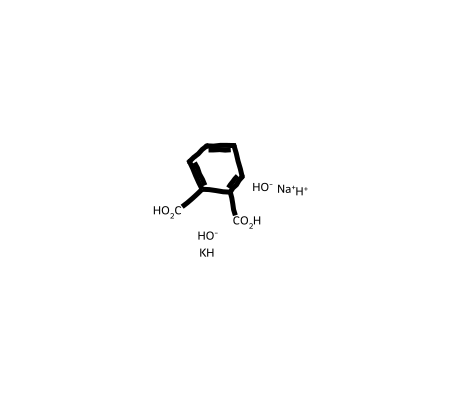 O=C(O)c1ccccc1C(=O)O.[H+].[KH].[Na+].[OH-].[OH-]